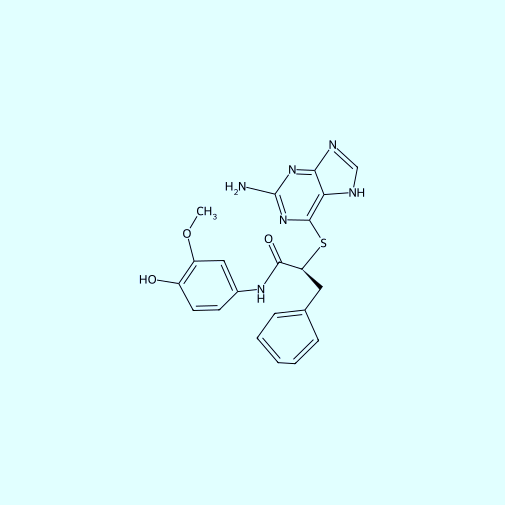 COc1cc(NC(=O)[C@H](Cc2ccccc2)Sc2nc(N)nc3nc[nH]c23)ccc1O